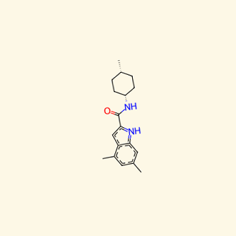 Cc1cc(C)c2cc(C(=O)N[C@H]3CC[C@@H](C)CC3)[nH]c2c1